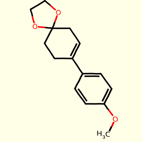 COc1ccc(C2=CCC3(CC2)OCCO3)cc1